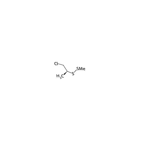 CSS[C@@H](C)CCl